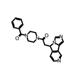 O=C(CC1c2ccncc2-c2cncn21)N1CCN(C(=O)c2ccccc2)CC1